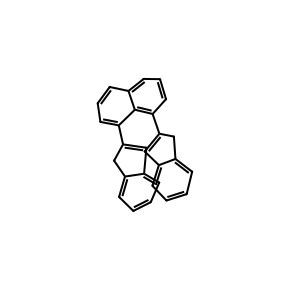 C1=C(c2cccc3cccc(C4=Cc5ccccc5C4)c23)Cc2ccccc21